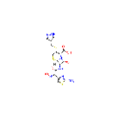 Nc1nc(/C(=N/O)C(=O)N[C@@H]2C(=O)N3C(C(=O)O)=C(SCc4cn[nH]c4)CS[C@H]23)cs1